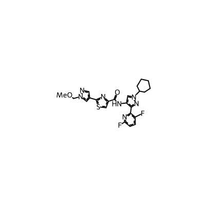 COCn1cc(-c2nc(C(=O)Nc3cn(C4CCCCC4)nc3-c3nc(F)ccc3F)cs2)cn1